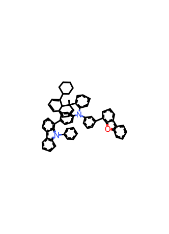 CC1(c2ccccc2N(c2ccc(-c3cccc4c5ccccc5n(-c5ccccc5)c34)cc2)c2cccc(-c3cccc4c3oc3ccccc34)c2)C=CC=C2C=CC=C(C3CCCCC3)C21